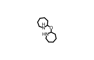 C1CCNC(OC2CCCCCN2)CC1